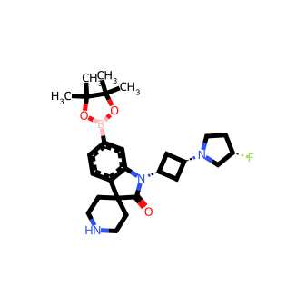 CC1(C)OB(c2ccc3c(c2)N([C@H]2C[C@@H](N4CC[C@H](F)C4)C2)C(=O)C32CCNCC2)OC1(C)C